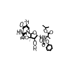 [2H]c1cn([C@@H]2O[C@H](CO[P@@](=O)(NC(C)C(=O)OC(C)C)Oc3ccccc3)[C@@H](O)[C@@]2(C)O)c(=O)[nH]c1=O